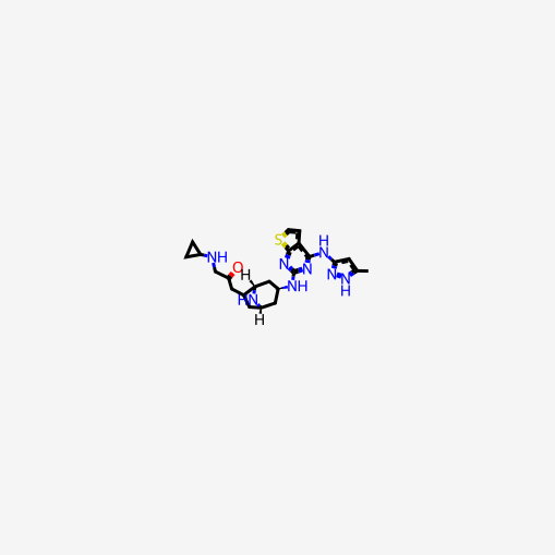 Cc1cc(Nc2nc(N[C@H]3C[C@@H]4CC(CC(=O)CNC5CC5)[C@H](C3)N4)nc3sccc23)n[nH]1